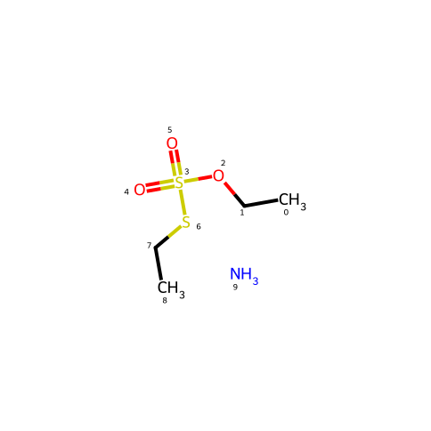 CCOS(=O)(=O)SCC.N